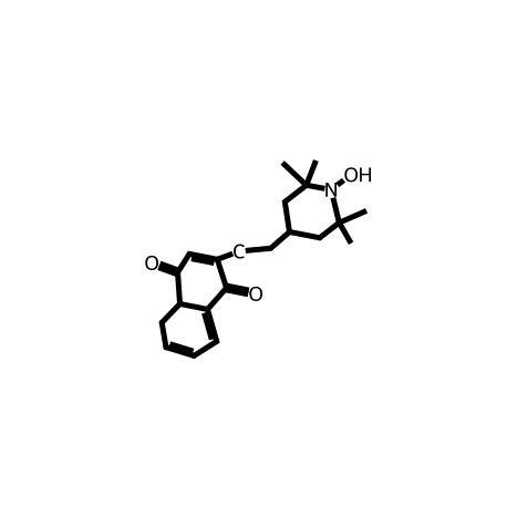 CC1(C)CC(CCC2=CC(=O)C3CC=CC=C3C2=O)CC(C)(C)N1O